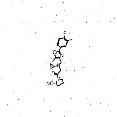 Cc1cc(-c2nc(CN(CC(=O)N3CCC[C@H]3C#N)C3CC3)c(C)o2)ccc1F